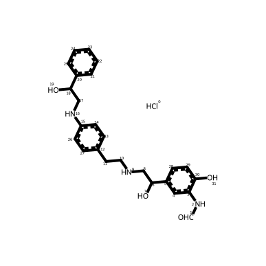 Cl.O=CNc1cc(C(O)CNCCc2ccc(NCC(O)c3ccccc3)cc2)ccc1O